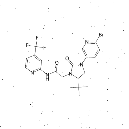 CC(C)(C)[C@H]1CN(c2ccc(Br)nc2)C(=O)N1CC(=O)Nc1cc(C(F)(F)F)ccn1